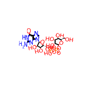 Nc1nc2c(ncn2[C@@H]2O[C@H](COP(=O)(O)OP(=O)(O)OC3O[C@H](CO)[C@H](O)[C@H](O)[C@H]3O)[C@@H](O)[C@H]2O)c(=O)[nH]1